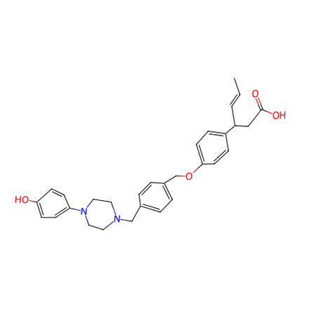 CC=CC(CC(=O)O)c1ccc(OCc2ccc(CN3CCN(c4ccc(O)cc4)CC3)cc2)cc1